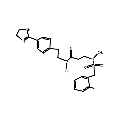 CN(CCc1ccc(C2=NCCN2)cc1)C(=O)CCN(C)S(=O)(=O)Cc1ccccc1Cl